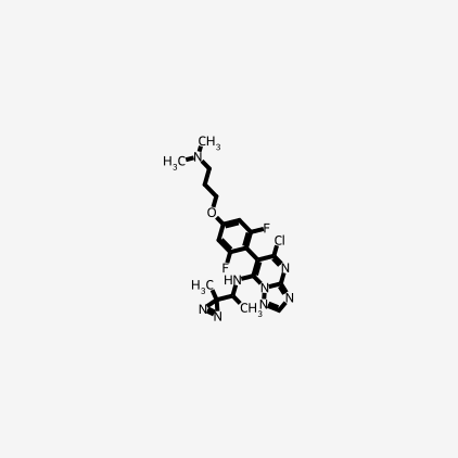 CC(Nc1c(-c2c(F)cc(OCCCN(C)C)cc2F)c(Cl)nc2ncnn12)C1(C)N=N1